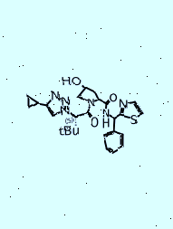 CC(C)(C)[C@@H](C(=O)N1CC(O)CC1C(=O)NC(c1ccccc1)c1nccs1)n1cc(C2CC2)nn1